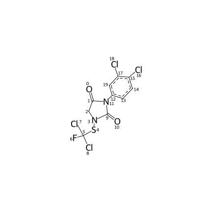 O=C1CN(SC(F)(Cl)Cl)C(=O)N1c1ccc(Cl)c(Cl)c1